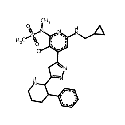 CN(c1nc(NCC2CC2)cc(C2=NN=C(C3NCCCC3c3ccccc3)C2)c1Cl)S(C)(=O)=O